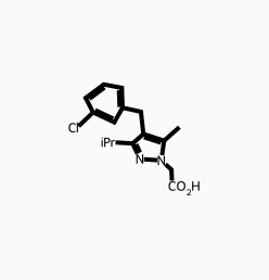 Cc1c(Cc2cccc(Cl)c2)c(C(C)C)nn1CC(=O)O